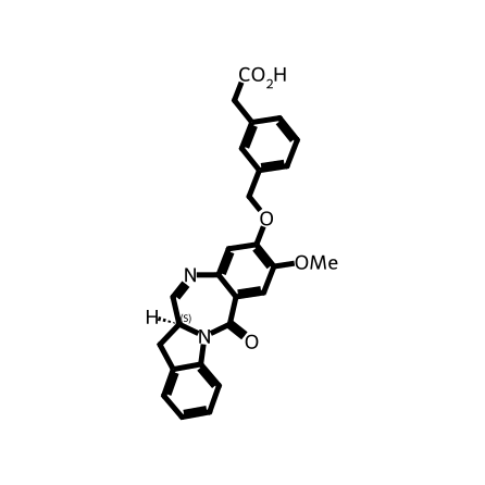 COc1cc2c(cc1OCc1cccc(CC(=O)O)c1)N=C[C@@H]1Cc3ccccc3N1C2=O